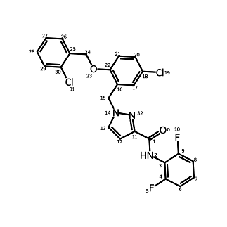 O=C(Nc1c(F)cccc1F)c1ccn(Cc2cc(Cl)ccc2OCc2ccccc2Cl)n1